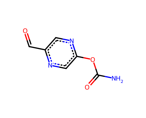 NC(=O)Oc1cnc(C=O)cn1